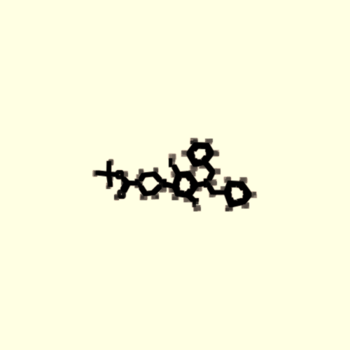 CC(C)(C)OC(=O)N1CCN(c2cc(F)c(N(Cc3ccccc3)Cc3ccccc3)cc2F)CC1